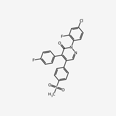 CS(=O)(=O)c1ccc(-c2cnn(-c3ccc(Cl)cc3F)c(=O)c2-c2ccc(F)cc2)cc1